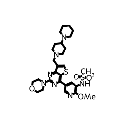 COc1ncc(-c2nc(N3CCOCC3)nc3c(CN4CCC(N5CCCCC5)CC4)csc23)cc1NS(C)(=O)=O